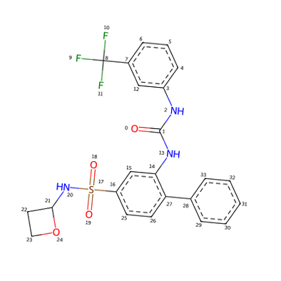 O=C(Nc1cccc(C(F)(F)F)c1)Nc1cc(S(=O)(=O)NC2CCO2)ccc1-c1ccccc1